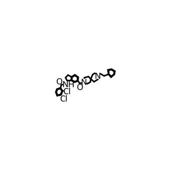 O=C(NC1CCc2ccc(C(=O)N3CCC4(CCN(CCc5ccccc5)CC4)CC3)cc21)c1cccc(Cl)c1Cl